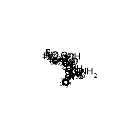 Nc1nc(/C(=N/OC2CCCC2)C(=O)N[C@@H]2C(=O)N3C(C(=O)O)=C(/C=C4\CCN(CC(F)(F)F)C4=O)CS[C@H]23)cs1